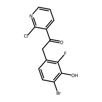 O=C(Cc1ccc(Br)c(O)c1F)c1cccnc1Cl